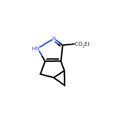 CCOC(=O)c1n[nH]c2c1C1CC1C2